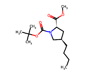 CCCC[C@@H]1C[C@@H](C(=O)OC)N(C(=O)OC(C)(C)C)C1